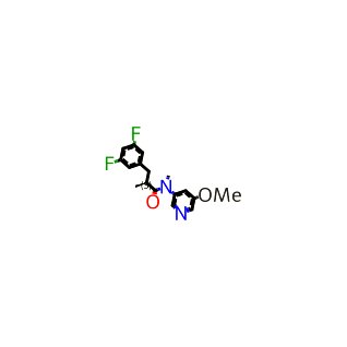 COc1cncc(N(C)C(=O)[C@@H](C)Cc2cc(F)cc(F)c2)c1